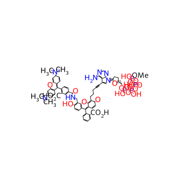 COP(=O)(O)OP(=O)(O)OP(=O)(O)OP(=O)(O)OC[C@@H]1CC[C@H](n2cc(C#CCCCc3c4oc5c(CNC(=O)c6ccc(-c7c8ccc(=[N+](C)C)cc-8oc8cc(N(C)C)ccc78)c(C(=O)O)c6)c(O)ccc5c(-c5ccccc5C(=O)O)c-4ccc3=O)c3c(N)ncnc32)O1